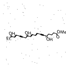 CC[C@@H](O)C=CC#CC[C@@H](O)C=CC=CC#C[C@@H](O)CCCC(=O)OC